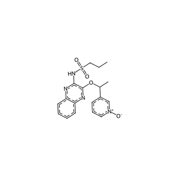 CCCS(=O)(=O)Nc1nc2ccccc2nc1OC(C)c1ccc[n+]([O-])c1